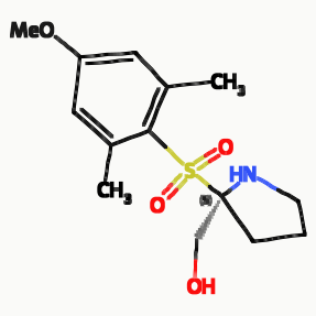 COc1cc(C)c(S(=O)(=O)[C@]2(CO)CCCN2)c(C)c1